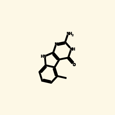 Cc1cccc2[nH]c3nc(N)[nH]c(=O)c3c12